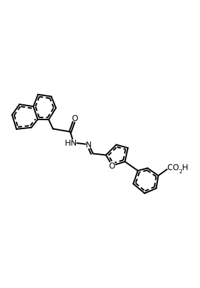 O=C(Cc1cccc2ccccc12)N/N=C/c1ccc(-c2cccc(C(=O)O)c2)o1